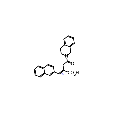 O=C(O)/C(=C/c1ccc2ccccc2c1)CC(=O)N1CCc2ccccc2C1